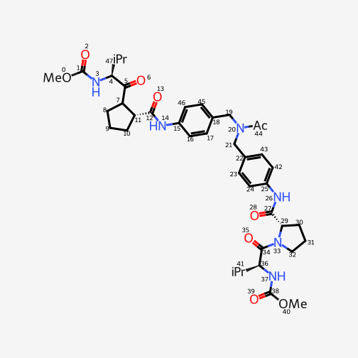 COC(=O)N[C@H](C(=O)C1CCC[C@H]1C(=O)Nc1ccc(CN(Cc2ccc(NC(=O)[C@@H]3CCCN3C(=O)[C@@H](NC(=O)OC)C(C)C)cc2)C(C)=O)cc1)C(C)C